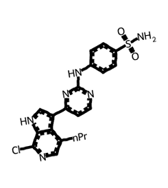 CCCc1cnc(Cl)c2[nH]cc(-c3ccnc(Nc4ccc(S(N)(=O)=O)cc4)n3)c12